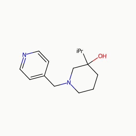 CC(C)C1(O)CCCN(Cc2ccncc2)C1